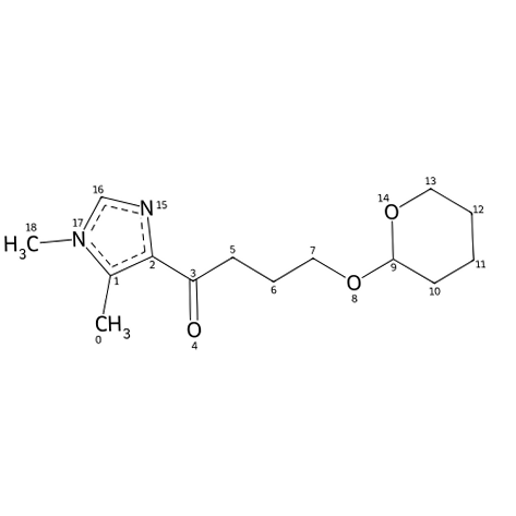 Cc1c(C(=O)CCCOC2CCCCO2)ncn1C